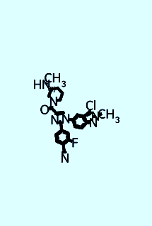 CN[C@@H]1CCCN(C(=O)c2cn(-c3ccc4nn(C)c(Cl)c4c3)c(-c3ccc(C#N)c(F)c3)n2)C1